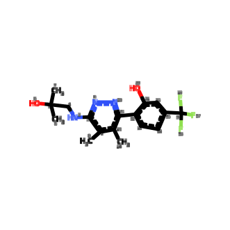 Cc1c(NCC(C)(C)O)nnc(-c2ccc(C(F)(F)F)cc2O)c1C